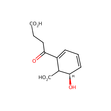 O=C(O)CCC(=O)C1=CC=C[C@@H](O)C1C(=O)O